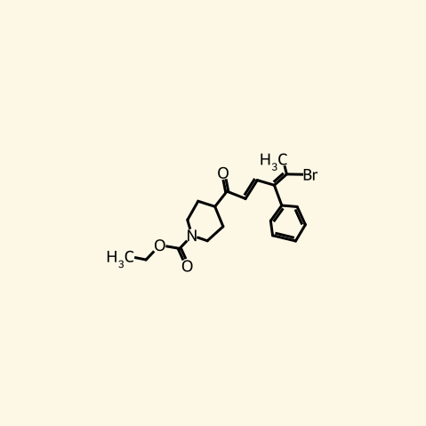 CCOC(=O)N1CCC(C(=O)/C=C/C(=C(\C)Br)c2ccccc2)CC1